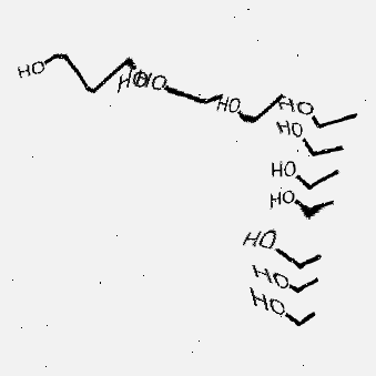 CCO.CCO.CCO.CCO.CCO.CCO.CCO.CCO.CCO.OCCCO